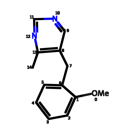 COc1ccccc1Cc1[c]ncnc1C